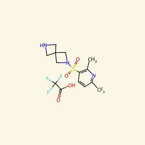 Cc1nc(C(F)(F)F)ccc1S(=O)(=O)N1CC2(CNC2)C1.O=C(O)C(F)(F)F